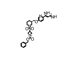 N=C/C=C(\N)c1ccc(OC[C@@H]2CCCN(S(=O)(=O)C3CN(C(=O)OCc4ccccc4)C3)C2)cn1